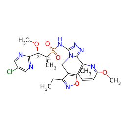 CCc1noc(C)c1Cn1c(NS(=O)(=O)[C@@H](C)[C@H](OC)c2ncc(Cl)cn2)nnc1-c1cccc(OC)n1